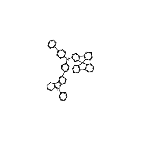 C1=Cc2c(c3cc(-c4ccc(N(c5ccc(-c6ccccc6)cc5)c5ccc6c(c5)C5(c7ccccc7-c7ccccc75)c5ccccc5-6)cc4)ccc3n2-c2ccccc2)CC1